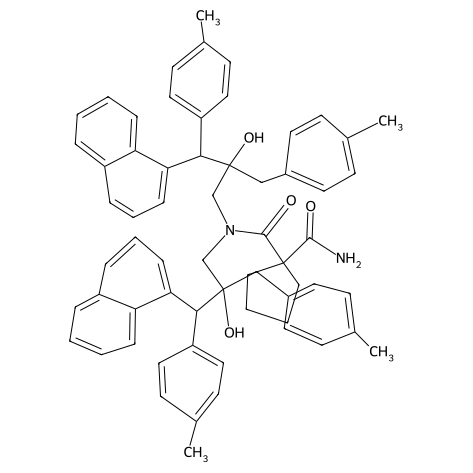 Cc1ccc(CC(O)(CN(CC(O)(Cc2ccc(C)cc2)C(c2ccc(C)cc2)c2cccc3ccccc23)C(=O)C2(C(N)=O)CCCC2)C(c2ccc(C)cc2)c2cccc3ccccc23)cc1